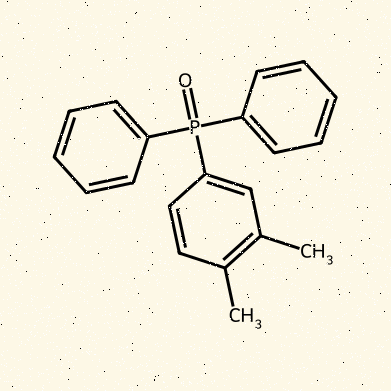 Cc1ccc(P(=O)(c2ccccc2)c2ccccc2)cc1C